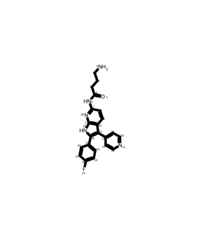 NCCCC(=O)Nc1ccc2c(-c3ccncc3)c(-c3ccc(F)cc3)[nH]c2n1